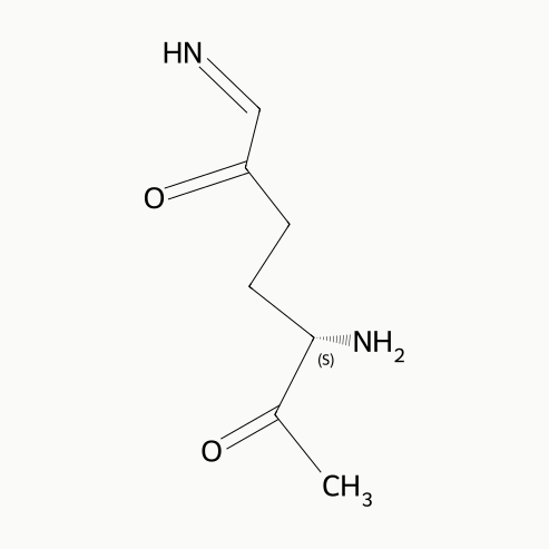 CC(=O)[C@@H](N)CCC(=O)C=N